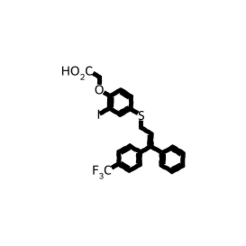 O=C(O)COc1ccc(SC/C=C(/c2ccccc2)c2ccc(C(F)(F)F)cc2)cc1I